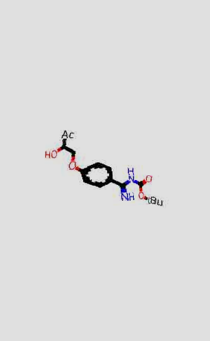 CC(=O)C(O)COc1ccc(C(=N)NC(=O)OC(C)(C)C)cc1